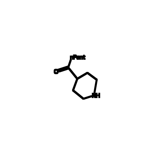 CCCCCC(=O)C1CCNCC1